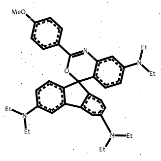 CCN(CC)c1ccc2c(c1)N=C(c1ccc(OC)cc1)OC21c2ccc(N(CC)CC)cc2-c2cc(N(CC)CC)ccc21